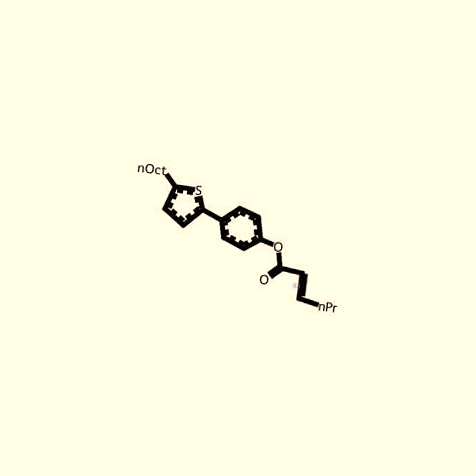 CCC/C=C/C(=O)Oc1ccc(-c2ccc(CCCCCCCC)s2)cc1